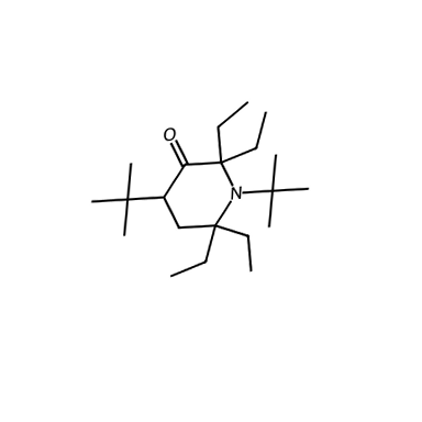 CCC1(CC)CC(C(C)(C)C)C(=O)C(CC)(CC)N1C(C)(C)C